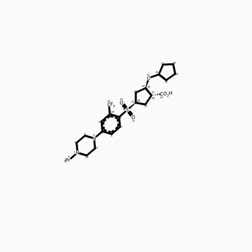 CC(C)N1CCN(c2ccc(S(=O)(=O)[C@H]3C[C@@H](OC4CCCC4)[C@H](C(=O)O)C3)c(C(F)(F)F)c2)CC1